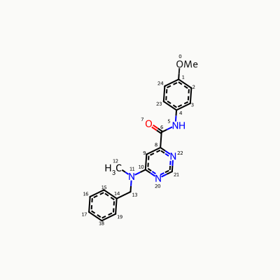 COc1ccc(NC(=O)c2cc(N(C)Cc3ccccc3)ncn2)cc1